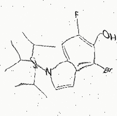 CC(C)[Si](C(C)C)(C(C)C)n1ccc2c(Br)c(O)c(F)cc21